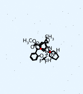 COC(=O)c1cc(OC)c2nc(N3[C@@H]4CC[C@H]3C[C@@H](OCc3c(-c5ccccc5OC(F)(F)F)noc3C3CC3)C4)sc2c1